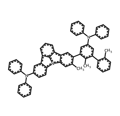 Cc1ccccc1-c1cc(N(c2ccccc2)c2ccccc2)cc(-c2cc3c4cccc5c6cc(N(c7ccccc7)c7ccccc7)ccc6n(c3cc2C)c54)c1C